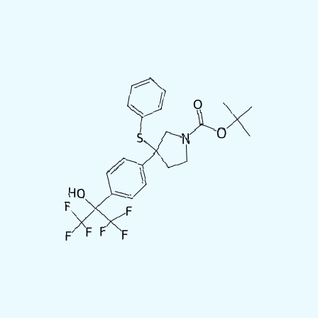 CC(C)(C)OC(=O)N1CCC(Sc2ccccc2)(c2ccc(C(O)(C(F)(F)F)C(F)(F)F)cc2)C1